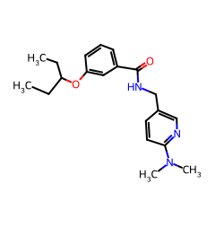 CCC(CC)Oc1cccc(C(=O)NCc2ccc(N(C)C)nc2)c1